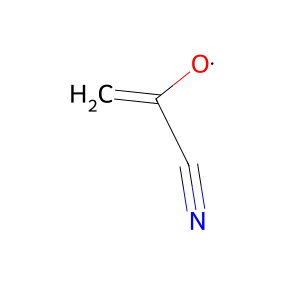 C=C([O])C#N